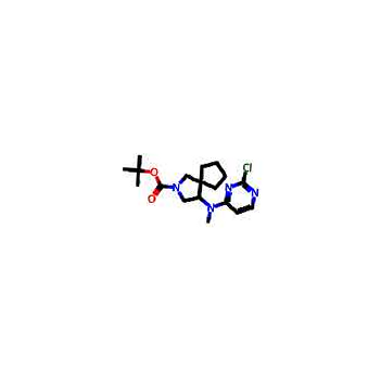 CN(c1ccnc(Cl)n1)C1CN(C(=O)OC(C)(C)C)CC12CCCC2